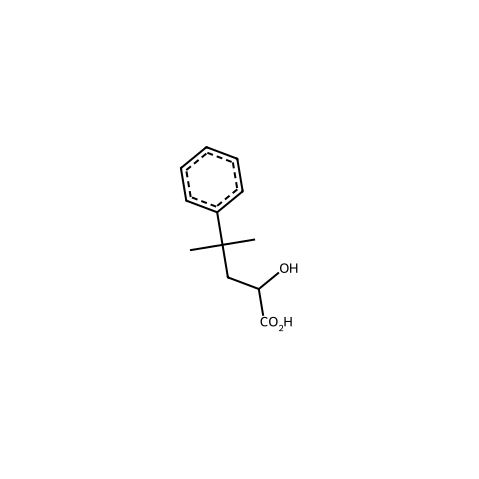 CC(C)(CC(O)C(=O)O)c1ccccc1